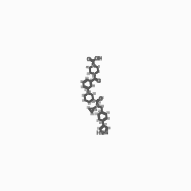 O=C(O)N1CCN(C(=O)c2cccc(N3CCC[C@@H](C(=O)N(Cc4ccc(-c5cn[nH]c5)cc4)C4CC4)C3)c2)CC1